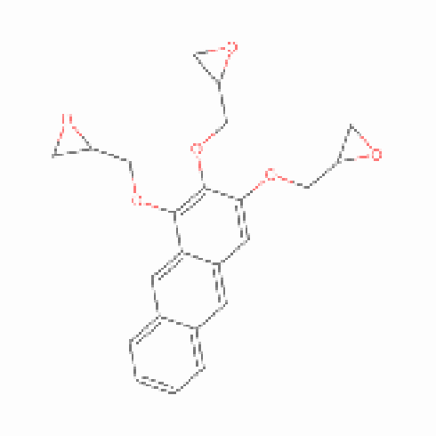 c1ccc2cc3c(OCC4CO4)c(OCC4CO4)c(OCC4CO4)cc3cc2c1